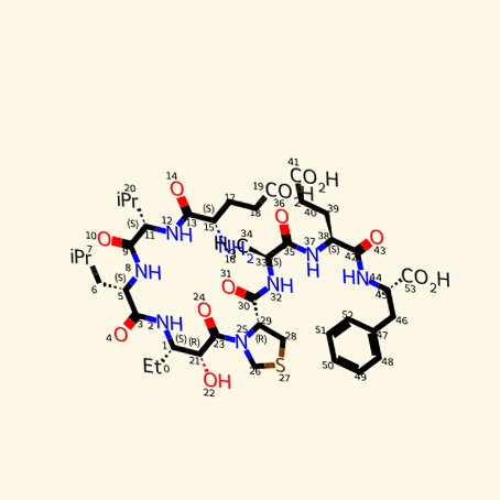 CC[C@H](NC(=O)[C@H](CC(C)C)NC(=O)[C@@H](NC(=O)[C@@H](N)CCC(=O)O)C(C)C)[C@@H](O)C(=O)N1CSC[C@H]1C(=O)N[C@@H](C)C(=O)N[C@@H](CCC(=O)O)C(=O)N[C@@H](Cc1ccccc1)C(=O)O